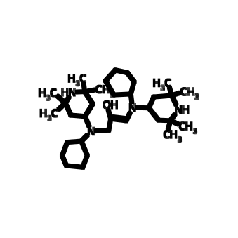 CC1(C)CC(N(C=C(O)CN(C2CCCCC2)C2CC(C)(C)NC(C)(C)C2)C2CCCCC2)CC(C)(C)N1